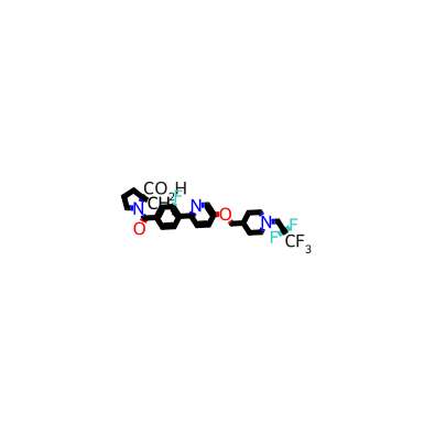 C[C@@]1(C(=O)O)CCCN1C(=O)c1ccc(-c2ccc(OCC3CCN(CC(F)(F)C(F)(F)F)CC3)cn2)c(F)c1